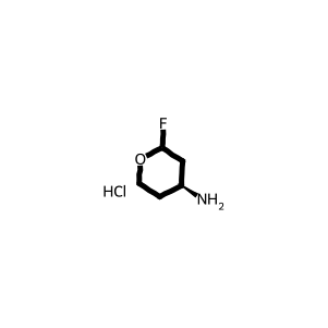 Cl.N[C@H]1CCOC(F)C1